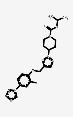 CC(C)OC(=O)N1CCC(n2ncc(COc3ccc(-n4cnnn4)cc3F)n2)CC1